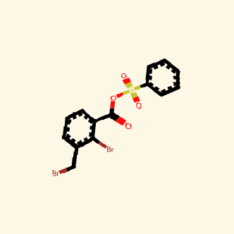 O=C(OS(=O)(=O)c1ccccc1)c1cccc(CBr)c1Br